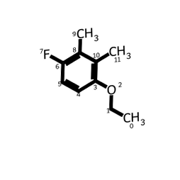 CCOc1ccc(F)c(C)c1C